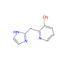 Oc1cccnc1Cc1ncc[nH]1